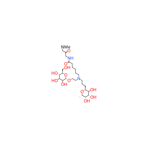 CNCC(=O)CNC(=O)CCCCCN(CCC[C@@H]1O[C@@H](C)[C@@H](O)[C@@H](O)[C@@H]1O)CCO[C@H]1O[C@H](CO)[C@@H](O)[C@H](O)[C@@H]1O